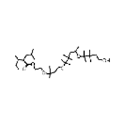 CCC(C)C(CC(C)C)C(=O)OCCOC(C)(C)CCOC(C)(C)C(C)(C)CC(C)OC(C)(C)C(C)(C)CCO